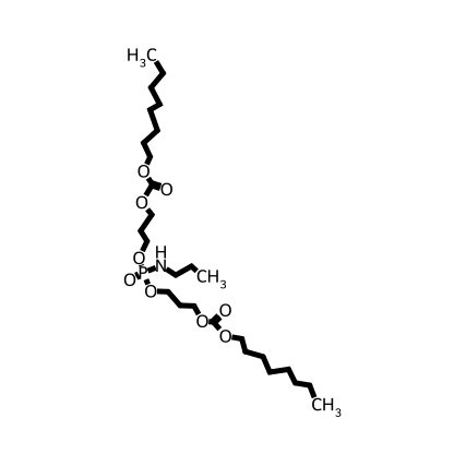 CCCCCCCCOC(=O)OCCCOP(=O)(NCCC)OCCCOC(=O)OCCCCCCCC